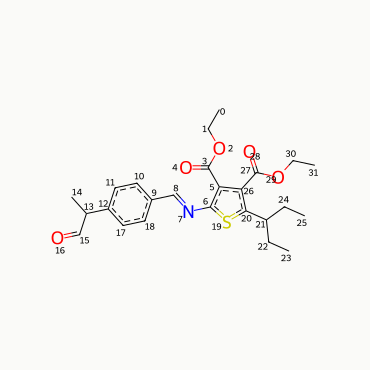 CCOC(=O)c1c(/N=C/c2ccc(C(C)C=O)cc2)sc(C(CC)CC)c1C(=O)OCC